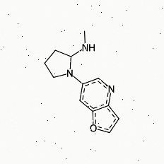 CNC1CCCN1c1cnc2ccoc2c1